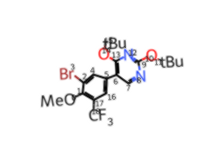 COc1c(Br)cc(-c2cnc(OC(C)(C)C)nc2OC(C)(C)C)cc1C(F)(F)F